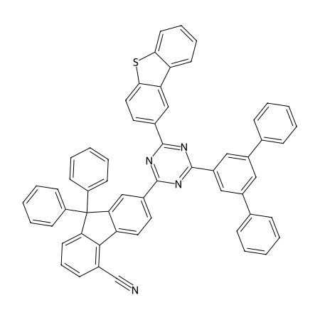 N#Cc1cccc2c1-c1ccc(-c3nc(-c4cc(-c5ccccc5)cc(-c5ccccc5)c4)nc(-c4ccc5sc6ccccc6c5c4)n3)cc1C2(c1ccccc1)c1ccccc1